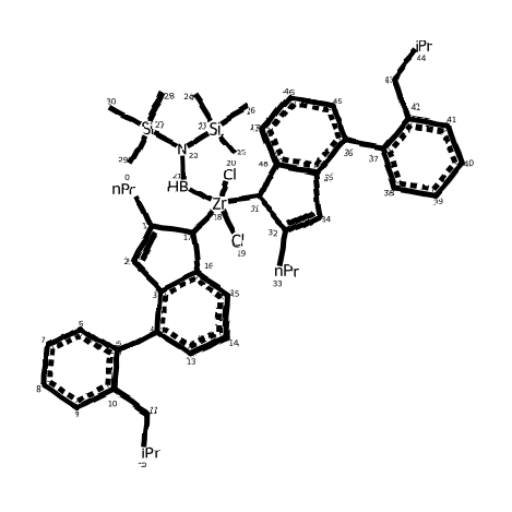 CCCC1=Cc2c(-c3ccccc3CC(C)C)cccc2[CH]1[Zr]([Cl])([Cl])([BH]N([Si](C)(C)C)[Si](C)(C)C)[CH]1C(CCC)=Cc2c(-c3ccccc3CC(C)C)cccc21